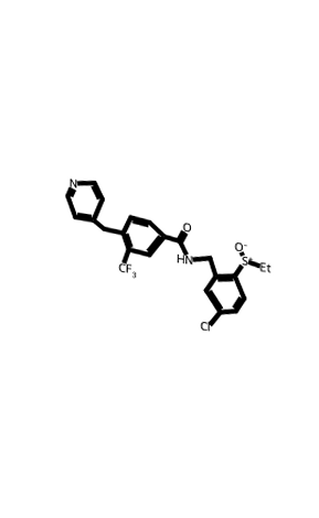 CC[S+]([O-])c1ccc(Cl)cc1CNC(=O)c1ccc(Cc2ccncc2)c(C(F)(F)F)c1